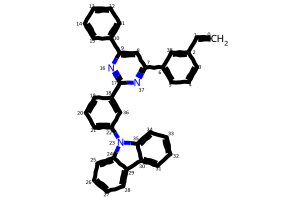 C=Cc1cccc(-c2cc(-c3ccccc3)nc(-c3cccc(-n4c5ccccc5c5ccccc54)c3)n2)c1